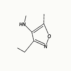 CCc1noc(C)c1NC